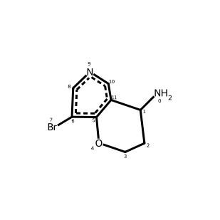 NC1CCOc2c(Br)cncc21